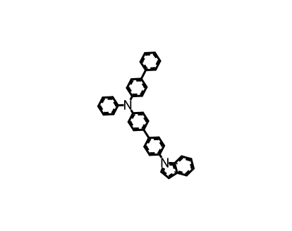 c1ccc(-c2ccc(N(c3ccccc3)c3ccc(-c4ccc(-n5ccc6ccccc65)cc4)cc3)cc2)cc1